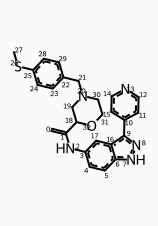 C=C(Nc1ccc2[nH]nc(-c3ccncc3)c2c1)C1CN(Cc2ccc(SC)cc2)CCO1